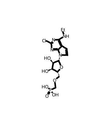 CCNc1nc(Cl)nc2c1ccn2[C@@H]1O[C@H](COCP(=O)(O)O)[C@@H](O)[C@H]1O